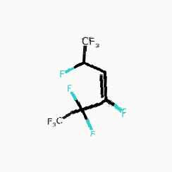 F/C(=C/C(F)C(F)(F)F)C(F)(F)C(F)(F)F